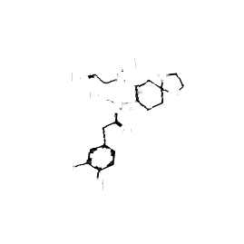 C=CCN(C)[C@@H]1CC2(CC[C@H]1N(C)C(=O)Cc1ccc(Cl)c(Cl)c1)OCCO2